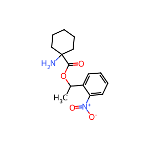 CC(OC(=O)C1(N)CCCCC1)c1ccccc1[N+](=O)[O-]